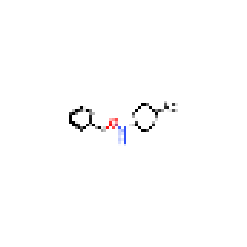 CC(=O)[C@H]1CC[C@H](NOCc2ccccc2)CC1